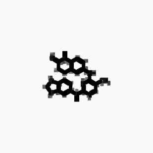 Cc1cnc(Nc2ccc3c(c2)OCO3)nc1Nc1ccc2c(c1)CCC(=O)N2